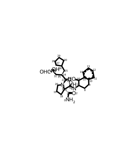 NC(=O)[C@]1(C(=O)NC2CCc3ccccc3C2O)CCCN1C(=O)[C@H](CC1CCCC1)CN(O)C=O